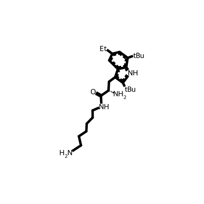 CCc1cc(C(C)(C)C)c2[nH]c(C(C)(C)C)c(C[C@H](N)C(=O)NCCCCCCN)c2c1